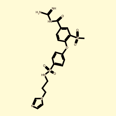 CS(=O)(=O)c1cc(C(=O)NC(=N)N)ccc1Oc1ccc(S(=O)(=O)NCCCn2ccnc2)cc1